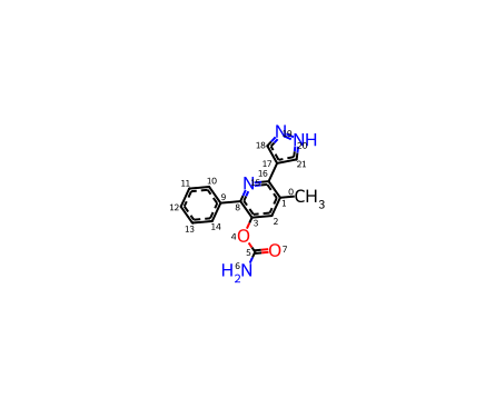 Cc1cc(OC(N)=O)c(-c2ccccc2)nc1-c1cn[nH]c1